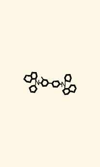 Cc1cc(-c2ccc(N(c3ccccc3)c3cccc4ccccc34)cc2)ccc1N(c1ccccc1)c1cccc2ccccc12